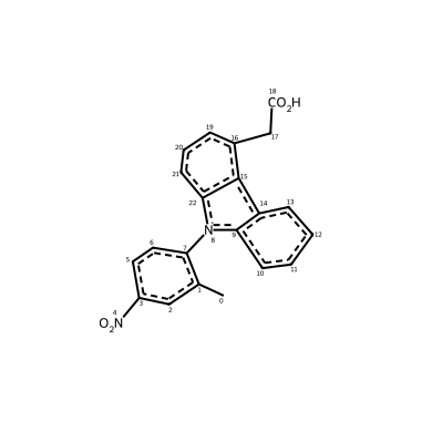 Cc1cc([N+](=O)[O-])ccc1-n1c2ccccc2c2c(CC(=O)O)cccc21